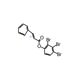 O=C(/C=C/c1ccccc1)Oc1ccc(Br)c(Br)c1Br